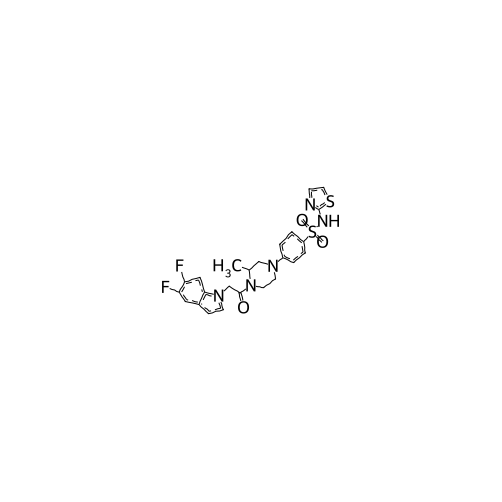 CC1CN(c2ccc(S(=O)(=O)Nc3nccs3)cc2)CCN1C(=O)Cn1ccc2cc(F)c(F)cc21